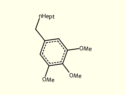 CCCCCCCCc1cc(OC)c(OC)c(OC)c1